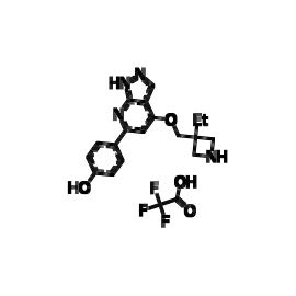 CCC1(COc2cc(-c3ccc(O)cc3)nc3[nH]ncc23)CNC1.O=C(O)C(F)(F)F